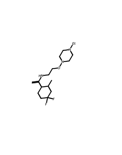 C=C(NCCON1CCN(CC)CC1)C1CCC(F)(F)CC1C